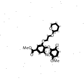 COC(=O)c1cc(OCCOC2CCCCO2)c(Oc2cc(OC)ccc2Cl)c([N+](=O)[O-])c1